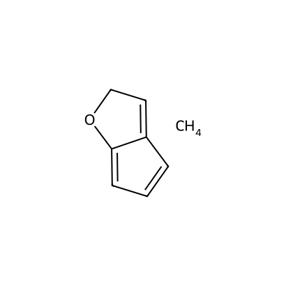 C.C1=CC2=CCOC2=C1